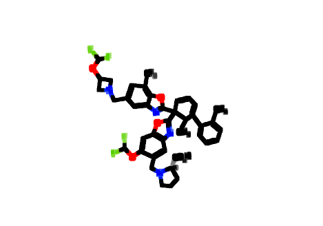 Cc1ccccc1C1=CC=CC(c2nc3cc(CN4CCC[C@H]4C(=O)O)c(OC(F)F)cc3o2)(c2nc3cc(CN4CC(OC(F)F)C4)cc(C(F)(F)F)c3o2)C1C